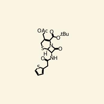 CC(=O)OCC1=C(C(=O)OC(C)(C)C)N2C(=O)[C@@H](NC(=O)Cc3cccs3)[C@H]2SC1